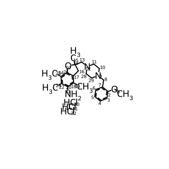 COc1ccccc1CN1CCN(CC2(C)Cc3c(C)c(N)c(C)c(C)c3O2)CC1.Cl.Cl.Cl